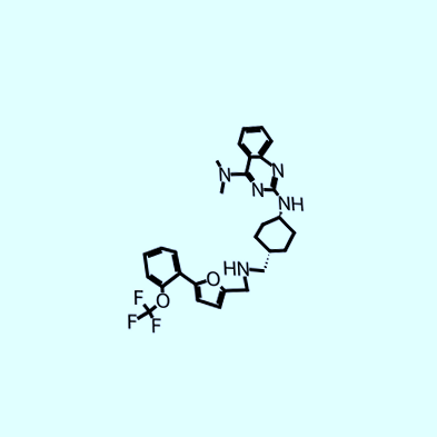 CN(C)c1nc(N[C@H]2CC[C@@H](CNCc3ccc(-c4ccccc4OC(F)(F)F)o3)CC2)nc2ccccc12